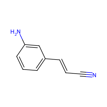 N#C/C=C/c1cccc(N)c1